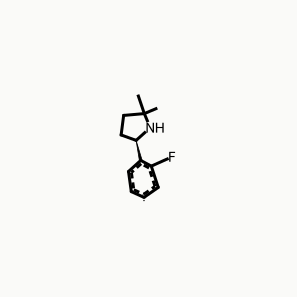 CC1(C)CC[C@H](c2cc[c]cc2F)N1